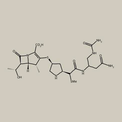 CSC(C(=O)NC(CNC(N)=O)CC(N)=O)[C@@H]1C[C@H](SC2=C(C(=O)O)N3C(=O)[C@H]([C@@H](C)O)[C@H]3[C@H]2C)CN1